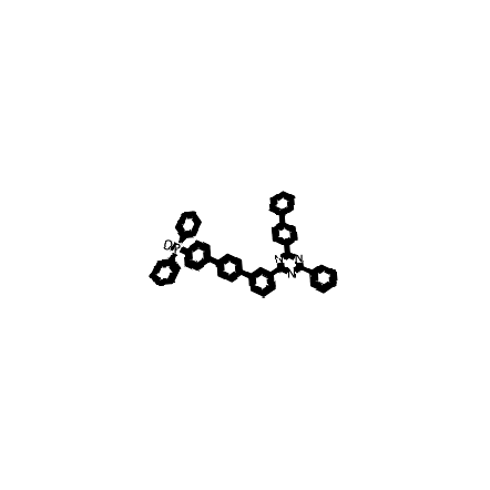 O=P(c1ccccc1)(c1ccccc1)c1ccc(-c2ccc(-c3cccc(-c4nc(-c5ccccc5)nc(-c5ccc(-c6ccccc6)cc5)n4)c3)cc2)cc1